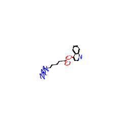 [N-]=[N+]=NCCCCC(=O)Oc1ccnc2ccccc12